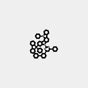 c1ccc(-c2cccc(-c3cc(-c4ccccc4)nc(-n4c5cc(C6(c7ccccc7)c7ccccc7-c7ccccc76)ccc5c5c4ccc4c6ccccc6n(-c6ccccc6)c45)n3)c2)cc1